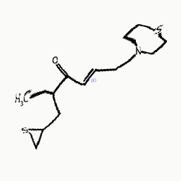 CC(CC1CS1)C(=O)/C=C/CN1CCSCC1